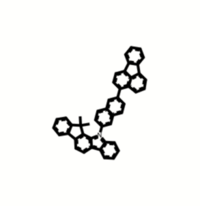 CC1(C)c2ccccc2-c2ccc3c4ccccc4n(-c4ccc5cc(-c6ccc7c8c(cccc68)-c6ccccc6-7)ccc5c4)c3c21